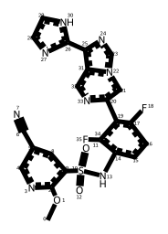 COc1ncc(C#N)cc1S(=O)(=O)Nc1ccc(F)c(-c2cn3cnc(-c4ncc[nH]4)c3cn2)c1F